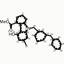 COC(=O)c1cccc2c1c1c(O)cc(C)cc1n2Cc1cccc(Cc2ccccc2)c1